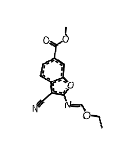 CCOC=Nc1oc2cc(C(=O)OC)ccc2c1C#N